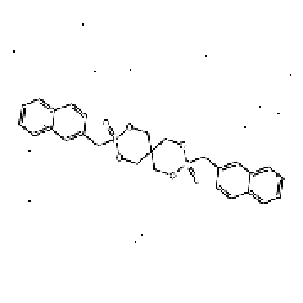 O=P1(Cc2ccc3ccccc3c2)OCC2(CO1)COP(=O)(Cc1ccc3ccccc3c1)OC2